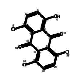 O=C1c2c(O)ccc(Cl)c2C(=O)c2c(Cl)ccc(Cl)c21